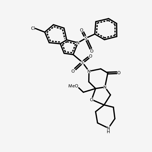 COCC12CN(S(=O)(=O)c3cc4cc(Cl)ccc4n3S(=O)(=O)c3ccccc3)CC(=O)N1CC1(CCNCC1)O2